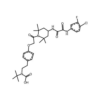 CC(C)(C)N(CCc1ccc(OCC(=O)N2C(C)(C)CC(NC(=O)C(=O)Nc3ccc(Cl)c(F)c3)CC2(C)C)cc1)C(=O)O